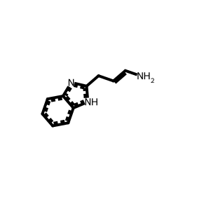 NC=CCc1nc2ccccc2[nH]1